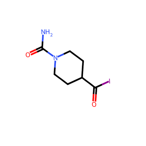 NC(=O)N1CCC(C(=O)I)CC1